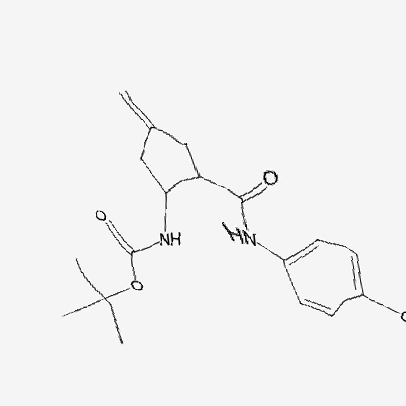 C=C1CC(NC(=O)OC(C)(C)C)C(C(=O)Nc2ccc(Cl)cc2)C1